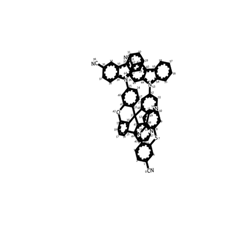 N#Cc1ccc2c(c1)Sc1ccccc1N2c1cccc2c1C1(c3ccc(-n4c5ccccc5c5cc(C#N)ccc54)cc3O2)c2cccnc2-c2ncc(-n3c4ccccc4c4cc(C#N)ccc43)cc21